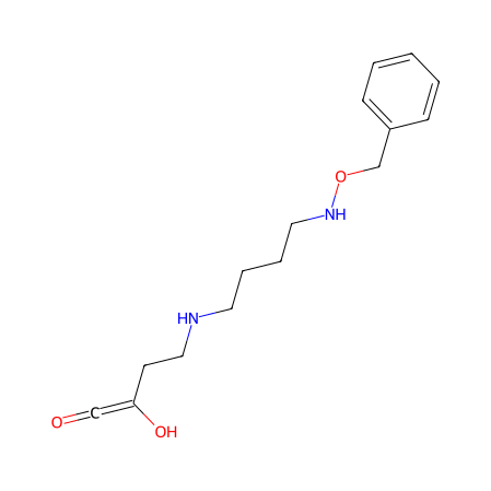 O=C=C(O)CCNCCCCNOCc1ccccc1